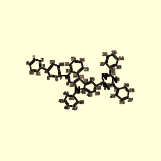 c1ccc(-c2ccc(-c3cc4c(c5ccccc35)c3cc(-c5nc(-c6ccccc6)nc(-c6ccccc6)n5)ccc3n4-c3ccccc3)cc2)cc1